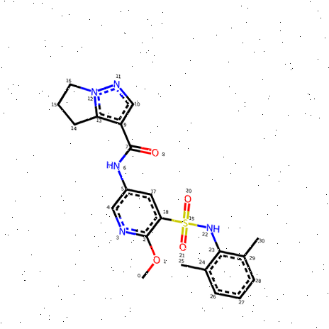 COc1ncc(NC(=O)c2cnn3c2CCC3)cc1S(=O)(=O)Nc1c(C)cccc1C